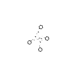 O=C(CNC(=O)N(CCc1ccccc1)C[C@@H](O)[C@H](Cc1ccccc1)NC(=O)OCc1ccccc1)Nc1ccccc1